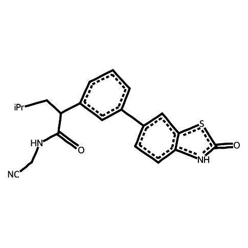 CC(C)CC(C(=O)NCC#N)c1cccc(-c2ccc3[nH]c(=O)sc3c2)c1